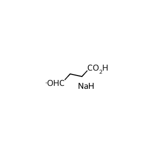 O=[C]CCC(=O)O.[NaH]